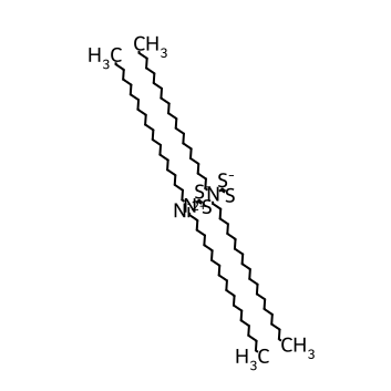 CCCCCCCCCCCCCCCCCCCCN(CCCCCCCCCCCCCCCCCCCC)C(=S)[S-].CCCCCCCCCCCCCCCCCCCCN(CCCCCCCCCCCCCCCCCCCC)C(=S)[S-].[Ni+2]